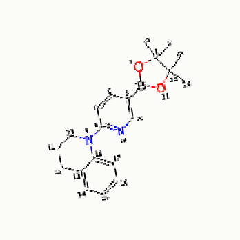 CC1(C)OB(c2ccc(N3CCCc4ccccc43)nc2)OC1(C)C